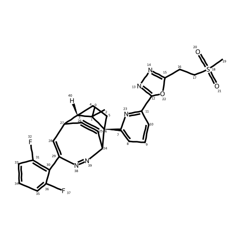 CC1(C)[C@H]2CC[C@]1(c1cccc(-c3nnc(CCS(C)(=O)=O)o3)n1)C1C#CC2/C=C(c2c(F)cccc2F)\N=N/1